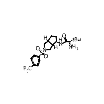 CC(C)(C)[C@H](N)C(=O)N[C@@H]1CC[C@H]2CN(S(=O)(=O)c3ccc(C(F)(F)F)cc3)C[C@H]21